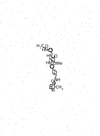 C=CC(=O)Nc1cccc(CNc2nc(Nc3ccc(N4CCN(CCNC(=O)CC5[C@H]6CC7C[C@@H](C[C@H]5C)C76)CC4)cc3OC)ncc2Cl)c1